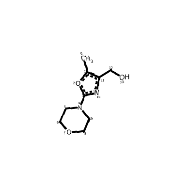 Cc1oc(N2CCOCC2)nc1CO